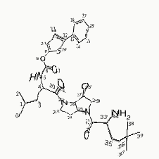 CC(C)CC(NC(=O)Oc1ccc(-c2ccccc2)s1)C(=O)N1CCC2C1C(=O)CN2C(=O)C(N)CC(C)(C)C